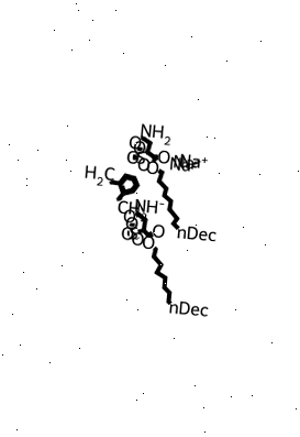 C=Cc1ccccc1C=C.CCCCCCCCCCCCCCCCCCOC(=O)C(CC(N)=O)S(=O)(=O)[O-].CCCCCCCCCCCCCCCCCCOC(=O)C(CC([NH-])=O)S(=O)(=O)[O-].[Na+].[Na+].[Na+]